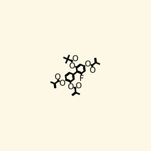 C=C(C)C(=O)Oc1cc(F)c(-c2ccc(OC(=O)C(=C)C)c(OC(=O)C(=C)C)c2)c(OC(=O)C(C)(C)C)c1